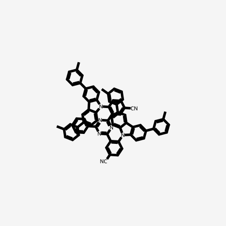 Cc1cccc(-c2ccc3c(c2)c2cc(-c4cccc(C)c4)ccc2n3-c2ccc(C#N)cc2-c2nc(-c3ccccc3)nc(-c3cc(C#N)ccc3-n3c4ccc(-c5cccc(C)c5)cc4c4cc(-c5cccc(C)c5)ccc43)n2)c1